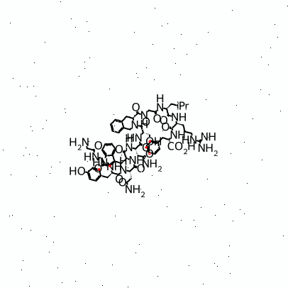 CC(C)C[C@H](NC(=O)CNC(=O)[C@@H]1Cc2ccccc2CN1C(=O)[C@H](CO)NC(=O)[C@H](CC(N)=O)NC(=O)[C@H](Cc1c[nH]c2ccccc12)NC(=O)[C@H](CC(N)=O)NC(=O)[C@@H](Cc1ccc(O)cc1)NC(=O)CNC(=O)CN)C(=O)N[C@@H](CCCNC(=N)N)C(=O)N[C@@H](Cc1ccccc1)C(=O)O